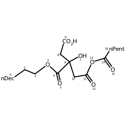 CCCCCCCCCCCCOC(=O)C(O)(CC(=O)O)CC(=O)OC(=O)CCCCC